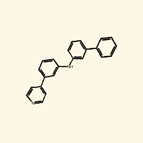 c1ccc(-c2cccc(Nc3cccc(-c4ccncc4)c3)c2)cc1